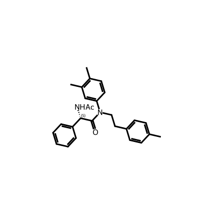 CC(=O)N[C@H](C(=O)N(CCc1ccc(C)cc1)c1ccc(C)c(C)c1)c1ccccc1